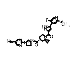 COc1cc(-c2cc(C(=O)N3CC[C@H](C(=O)N[C@@H]4CCN(c5ccc(C#N)cn5)C4)CC34CC4)n[nH]2)c(F)cn1